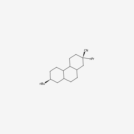 CCCC[C@H]1CCC2C(CCC3C[C@@](C#N)(CCC)CCC32)C1